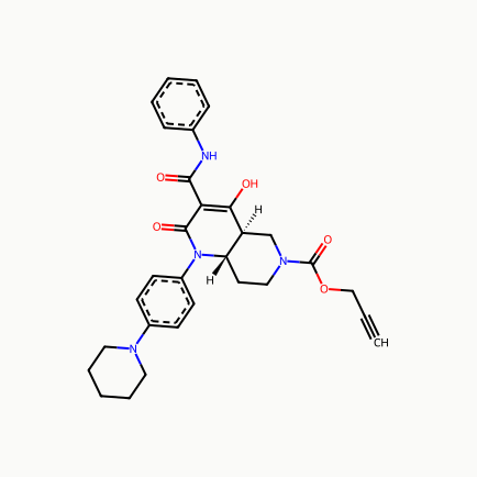 C#CCOC(=O)N1CC[C@H]2[C@H](C1)C(O)=C(C(=O)Nc1ccccc1)C(=O)N2c1ccc(N2CCCCC2)cc1